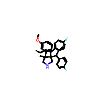 CCCC(c1ccc(F)cc1)C1(C(CCC)c2ccc(F)cc2)CNCC1(C)c1cccc(OC)c1